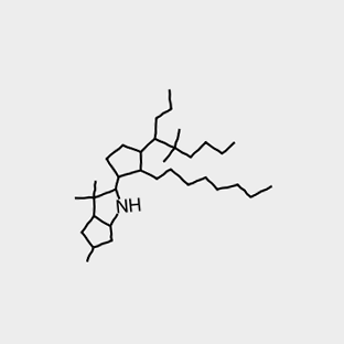 CCCCCCCCC1C(C(CCC)C(C)(C)CCCC)CCC1C1NC2CC(C)CC2C1(C)C